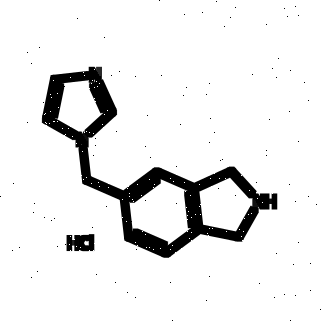 Cl.c1cn(Cc2ccc3c(c2)CNC3)cn1